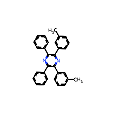 Cc1cccc(-c2nc(-c3cccc(C)c3)c(-c3ccccc3)nc2-c2ccccc2)c1